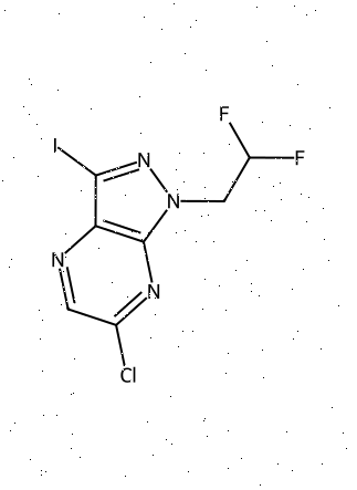 FC(F)Cn1nc(I)c2ncc(Cl)nc21